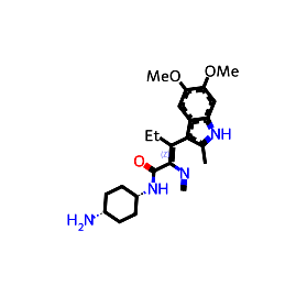 C=N/C(C(=O)N[C@H]1CC[C@@H](N)CC1)=C(/CC)c1c(C)[nH]c2cc(OC)c(OC)cc12